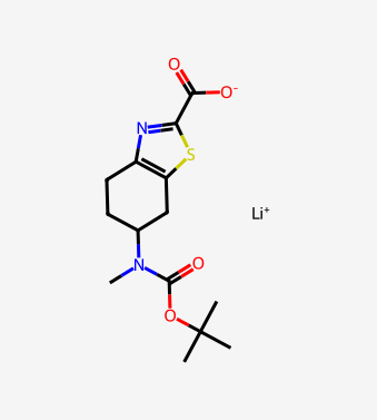 CN(C(=O)OC(C)(C)C)C1CCc2nc(C(=O)[O-])sc2C1.[Li+]